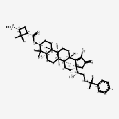 CC(C)C1=C2[C@H]3CC[C@@H]4[C@@]5(C)CC[C@H](OC(=O)[C@H]6C[C@@H](C(=O)O)C6(C)C)C(C)(C)[C@]5(C)CC[C@@]4(C)[C@]3(C)CC[C@@]2([C@@H](O)CNC(C)(C)c2ccccc2)CC1=O